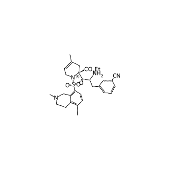 CCOC(=O)[C@]1(C(=O)C(N)Cc2cccc(C#N)c2)CC(C)=CCN1S(=O)(=O)c1ccc(C)c2c1CN(C)CC2